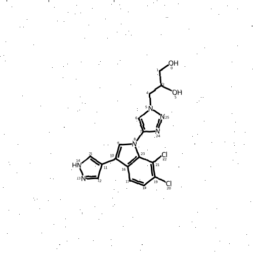 OCC(O)Cn1cc(-n2cc(-c3cn[nH]c3)c3ccc(Cl)c(Cl)c32)nn1